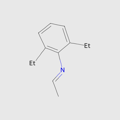 CC=Nc1c(CC)cccc1CC